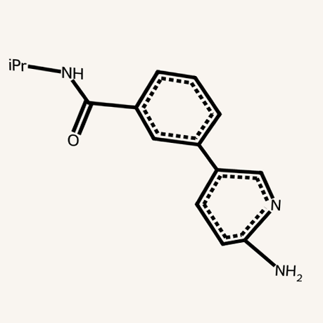 CC(C)NC(=O)c1cccc(-c2ccc(N)nc2)c1